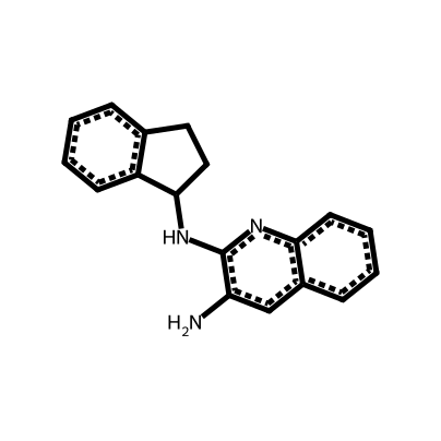 Nc1cc2ccccc2nc1NC1CCc2ccccc21